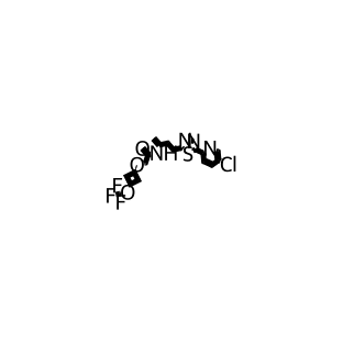 C=C(CCc1nnc(-c2ccc(Cl)cn2)s1)NC(=O)CO[C@H]1C[C@@H](OC(F)(F)F)C1